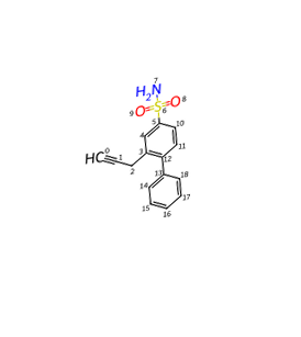 C#CCc1cc(S(N)(=O)=O)ccc1-c1ccccc1